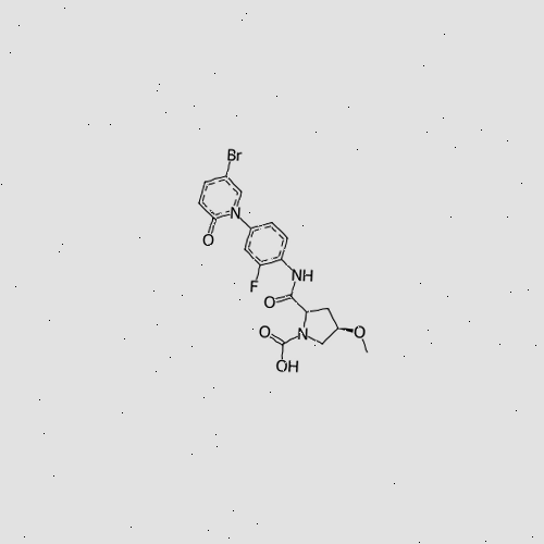 CO[C@@H]1CC(C(=O)Nc2ccc(-n3cc(Br)ccc3=O)cc2F)N(C(=O)O)C1